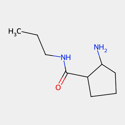 CCCNC(=O)C1CCCC1N